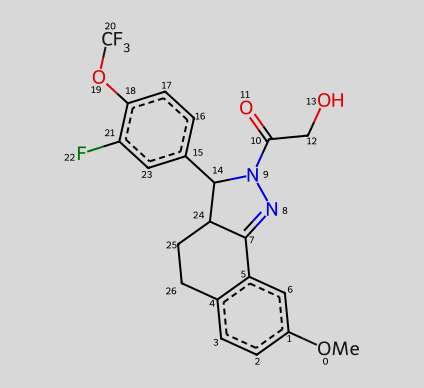 COc1ccc2c(c1)C1=NN(C(=O)CO)C(c3ccc(OC(F)(F)F)c(F)c3)C1CC2